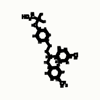 CC(C)(Oc1ccc(CCN(Cc2ccc(C(F)(F)F)cc2)c2ncc(Cl)cn2)cc1)C(=O)O